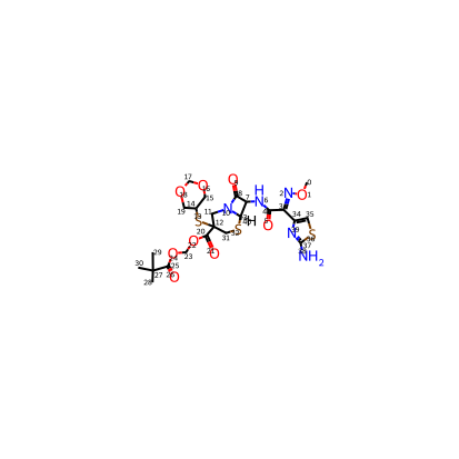 CON=C(C(=O)NC1C(=O)N2CC(SC3COCOC3)(C(=O)OCOC(=O)C(C)(C)C)CS[C@H]12)c1csc(N)n1